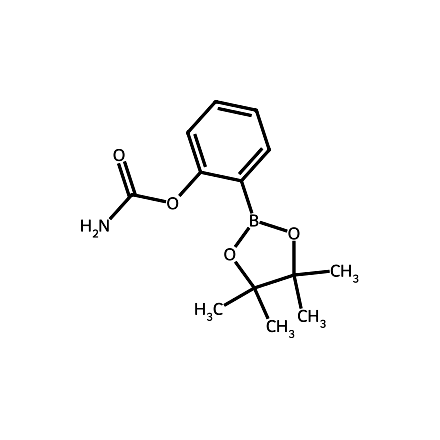 CC1(C)OB(c2ccccc2OC(N)=O)OC1(C)C